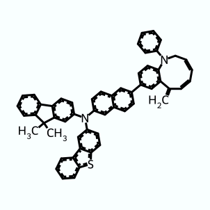 C=C1/C=C\C=C/CN(c2ccccc2)c2ccc(-c3ccc4cc(N(c5ccc6c(c5)C(C)(C)c5ccccc5-6)c5ccc6sc7ccccc7c6c5)ccc4c3)cc21